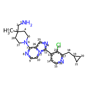 CC1(CN)CCN(c2nccn3c(-c4ccnc(CC5CC5)c4Cl)ncc23)CC1